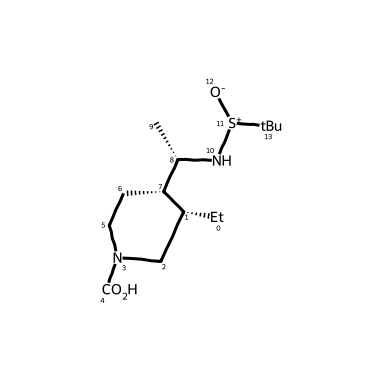 CC[C@@H]1CN(C(=O)O)CC[C@@H]1[C@H](C)N[S+]([O-])C(C)(C)C